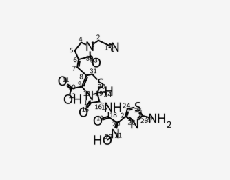 N#CCN1CCC(=CC2=C(C(=O)O)N3C(=O)[C@@H](NC(=O)/C(=N\O)c4csc(N)n4)[C@H]3SC2)C1=O